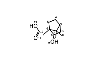 CC1(C)C2CCC1(C)C(O)C2.O=CO